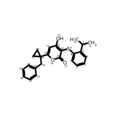 CC(C)c1ccccc1Sc1c(O)cc(C2(Cc3ccccc3)CC2)oc1=O